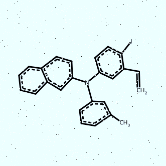 C=Cc1cc(N(c2cccc(C)c2)c2ccc3ccccc3c2)ccc1I